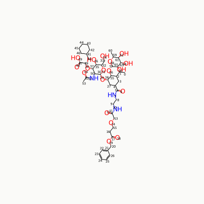 CCC1CC(C(=O)NCCNC(=O)COCCC(=O)OCc2ccccc2)C[C@@H](O[C@@H]2OC(CO)[C@H](O)C(O[C@@H](CC3CCCCC3)C(=O)O)C2NC(C)=O)C1O[C@@H]1OC(C)[C@@H](O)C(O)C1O